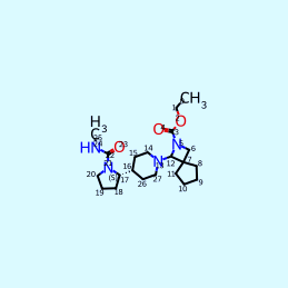 CCOC(=O)N1CC2(CCCC2)C1N1CCC([C@@H]2CCCN2C(=O)NC)CC1